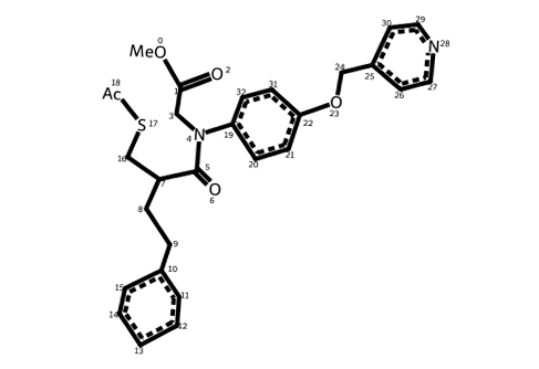 COC(=O)CN(C(=O)C(CCc1ccccc1)CSC(C)=O)c1ccc(OCc2ccncc2)cc1